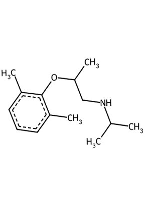 Cc1cccc(C)c1OC(C)CNC(C)C